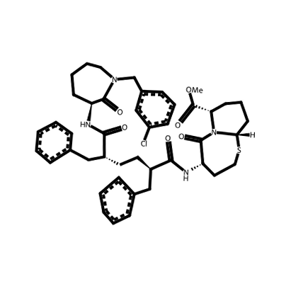 COC(=O)[C@@H]1CCC[C@@H]2SCC[C@H](NC(=O)[C@H](CC[C@H](Cc3ccccc3)C(=O)N[C@H]3CCCCN(Cc4cccc(Cl)c4)C3=O)Cc3ccccc3)C(=O)N21